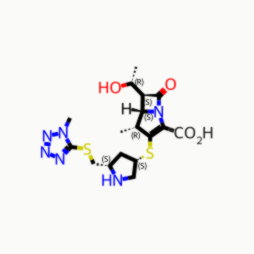 C[C@@H](O)[C@H]1C(=O)N2C(C(=O)O)=C(S[C@@H]3CN[C@H](CSc4nnnn4C)C3)[C@H](C)[C@H]12